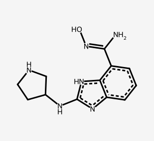 NC(=NO)c1cccc2nc(NC3CCNC3)[nH]c12